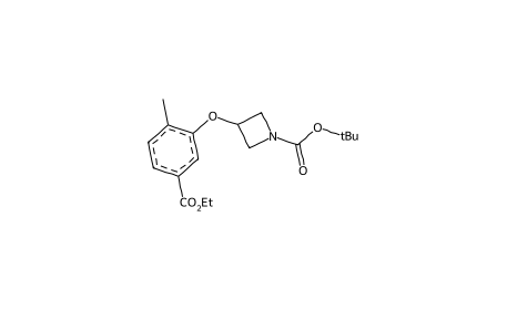 CCOC(=O)c1ccc(C)c(OC2CN(C(=O)OC(C)(C)C)C2)c1